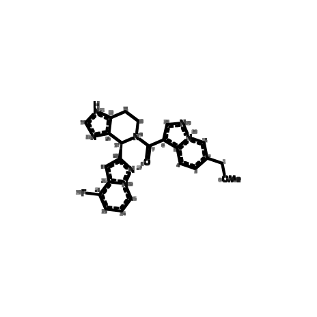 COCc1ccc2c(C(=O)N3CCc4[nH]cnc4[C@@H]3c3cc4c(F)cccn4n3)cnn2c1